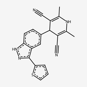 CC1=C(C#N)C(c2ccc3[nH]nc(-c4cccs4)c3c2)C(C#N)=C(C)N1